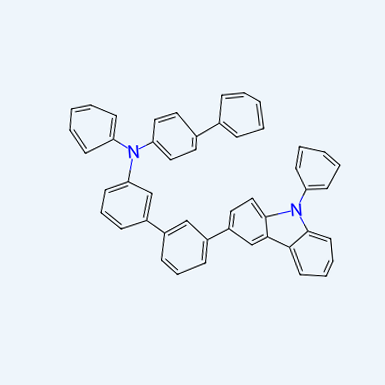 c1ccc(-c2ccc(N(c3ccccc3)c3cccc(-c4cccc(-c5ccc6c(c5)c5ccccc5n6-c5ccccc5)c4)c3)cc2)cc1